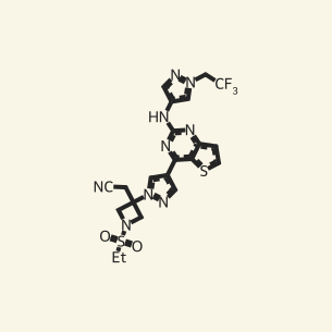 CCS(=O)(=O)N1CC(CC#N)(n2cc(-c3nc(Nc4cnn(CC(F)(F)F)c4)nc4ccsc34)cn2)C1